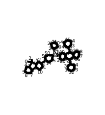 CC1(C)c2ccccc2-c2ccc(-c3ccc(N(c4ccccc4)c4ccc5c(-c6ccccc6)c6ccccc6c(-c6ccccc6)c5c4)cc3)cc21